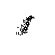 Cc1c(Nc2c(F)ccc(NS(=O)(=O)N3CC[C@@H](F)C3)c2F)ccc2ncn(C)c(=O)c12